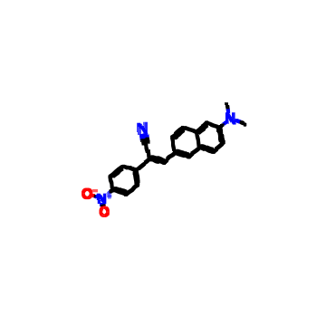 CN(C)c1ccc2cc(/C=C(\C#N)c3ccc([N+](=O)[O-])cc3)ccc2c1